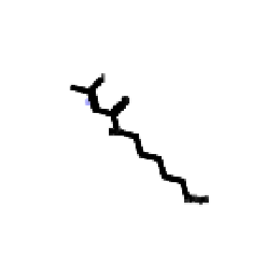 CCCCCCCCCCCCNC(=O)/C=C(/C)I